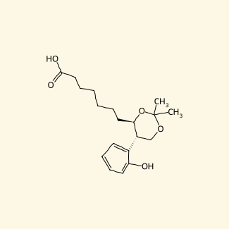 CC1(C)OC[C@H](c2ccccc2O)[C@@H](CCCCCCC(=O)O)O1